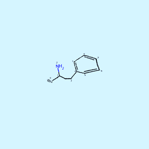 CCC(C)C(N)Cc1ccccc1